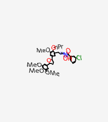 CCCOc1c(C/C=C/N(O)C(=O)c2cccc(Cl)c2)cc(C2CCC(c3cc(OC)c(OC)c(OC)c3)O2)cc1OC